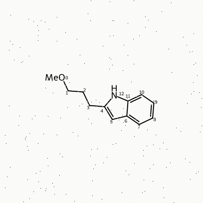 COCCCc1cc2cc[c]cc2[nH]1